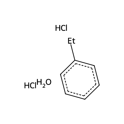 CCc1ccccc1.Cl.Cl.O